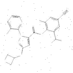 Cc1cc(C#N)cc(C(C)C)c1NC(=O)c1cc(OC2COC2)nn1-c1ncccc1Cl